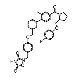 Cc1cc(C(=O)N2CCCC2COc2ccc(F)cc2)ccc1-c1cccc(COc2ccc(Cn3oc(=O)[nH]c3=O)cc2)c1